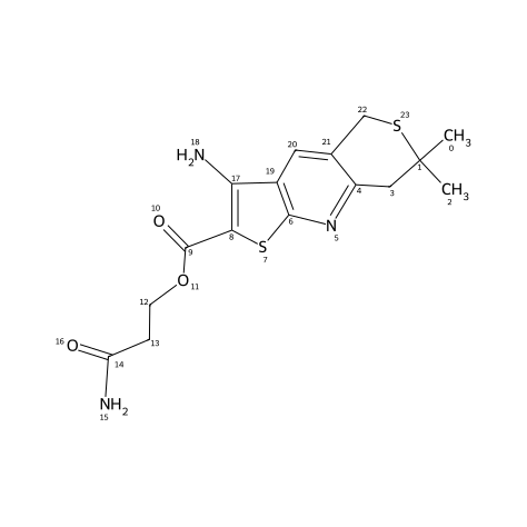 CC1(C)Cc2nc3sc(C(=O)OCCC(N)=O)c(N)c3cc2CS1